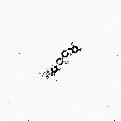 CC[C@H]1CN(c2ncc(NS(C)(=O)=O)cc2Cl)CCN1C1CCN(Cc2c(F)cc(F)cc2F)CC1